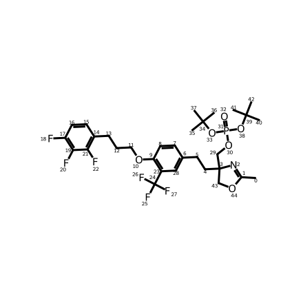 CC1=NC(CCc2ccc(OCCCc3ccc(F)c(F)c3F)c(C(F)(F)F)c2)(COP(=O)(OC(C)(C)C)OC(C)(C)C)CO1